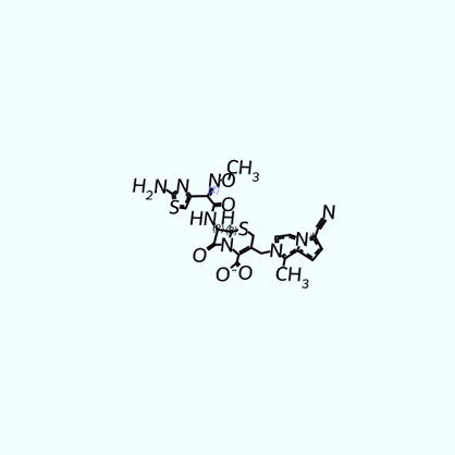 CO/N=C(\C(=O)N[C@@H]1C(=O)N2C(C(=O)[O-])=C(Cn3cc[n+]4c(C#N)ccc-4c3C)CS[C@H]12)c1csc(N)n1